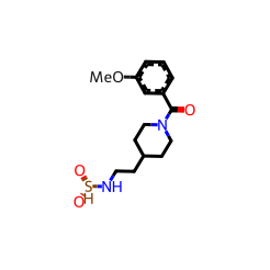 COc1cccc(C(=O)N2CCC(CCN[SH](=O)=O)CC2)c1